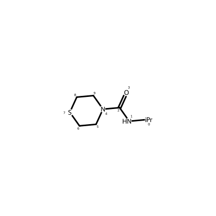 CC(C)NC(=O)N1CCSCC1